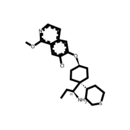 CC[C@H](N)[C@]1(C2CCSCC2)CC[C@H](Oc2cc3ccnc(OC)c3cc2Cl)CC1